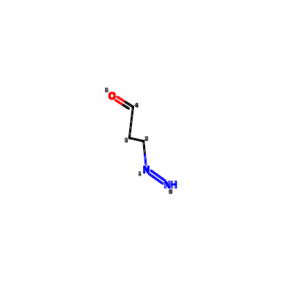 N=NCCC=O